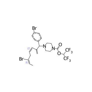 C=C(/C=C\C/C(Br)=C\C)C(c1ccc(Br)cc1)N1CCN(C(=O)OC(C(F)(F)F)C(F)(F)F)CC1